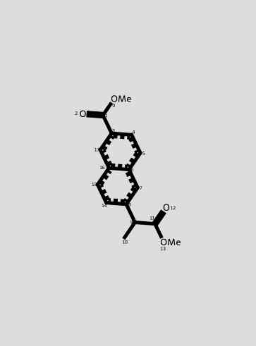 COC(=O)c1ccc2cc(C(C)C(=O)OC)ccc2c1